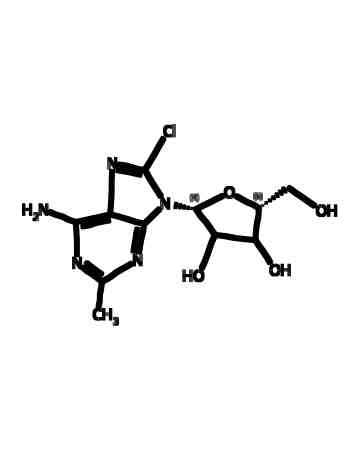 Cc1nc(N)c2nc(Cl)n([C@@H]3O[C@H](CO)C(O)C3O)c2n1